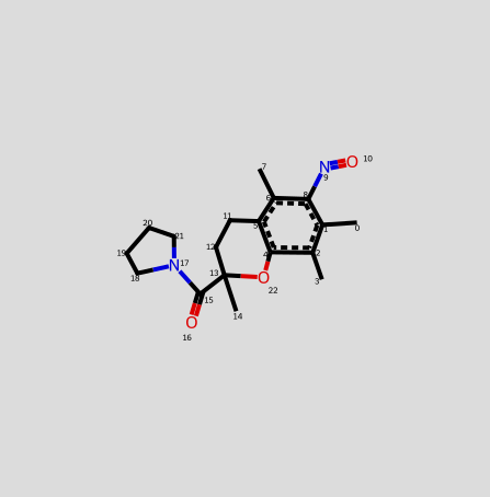 Cc1c(C)c2c(c(C)c1N=O)CCC(C)(C(=O)N1CCCC1)O2